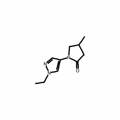 CCn1cc(N2CC(C)CC2=O)cn1